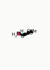 C=C(Cl)/C=C\C(=C/N)CNC(=O)N1CCN(c2ccc(-c3cnc(C)o3)c(OC)c2)CC1